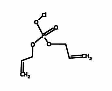 C=CCOP(=O)(OCl)OCC=C